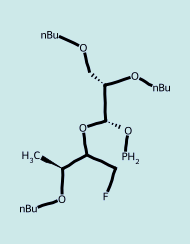 CCCCOC[C@H](OCCCC)[C@H](OP)OC(CF)[C@H](C)OCCCC